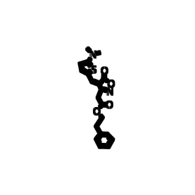 CN(C)c1ccc(C=C2C(=O)ON=C2CC(=O)OCCc2ccccc2)s1